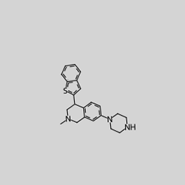 CN1Cc2cc(N3CCNCC3)ccc2C(c2cc3ccccc3s2)C1